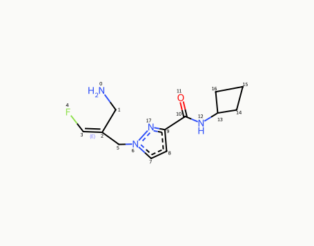 NC/C(=C\F)Cn1ccc(C(=O)NC2CCC2)n1